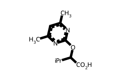 Cc1cc(C)nc(OC(C(=O)O)C(C)C)n1